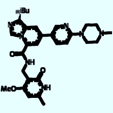 CC[C@@H](C)c1ncn2c(C(=O)NCc3c(OC)cc(C)[nH]c3=O)cc(-c3ccc(N4CCN(C)CC4)nc3)cc12